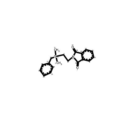 C[Si](C)(CCN1C(=O)c2ccccc2C1=O)Cc1ccccc1